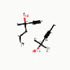 C#CC(C)(O)CCC(C)C.CC#CC(C)(O)CC